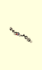 C=C(F)/C=C(\C=C/CCC(=O)N1CC(n2ccnc2)C1)OCCC1CC1C1CCN(c2ncc(Cl)cn2)CC1